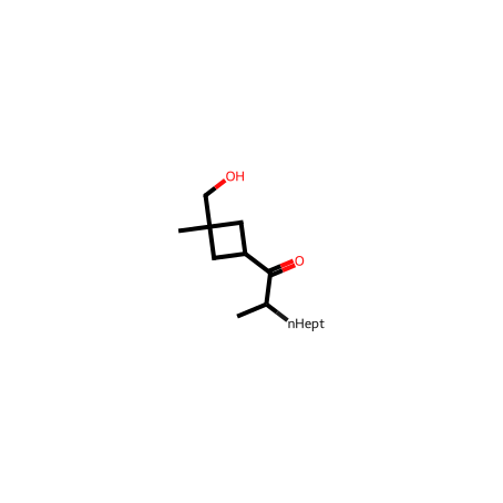 CCCCCCCC(C)C(=O)C1CC(C)(CO)C1